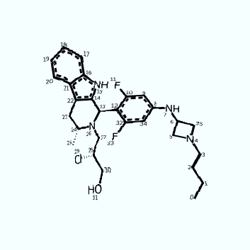 CCCCN1CC(Nc2cc(F)c([C@@H]3c4[nH]c5ccccc5c4C[C@@H](C)N3C[C@@H](Cl)CO)c(F)c2)C1